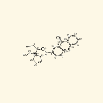 CCC(OCc1ccc2sc3ccccc3c(=O)c2c1)[N+](CC)(CC)CC